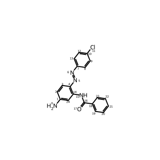 Nc1ccc(/N=N/c2ccc(Cl)cc2)c(NC(=O)c2ccccc2)c1